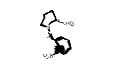 O=[C][C@@H]1CCCN1Sc1ccccc1[N+](=O)[O-]